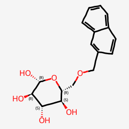 O[C@@H]1[C@@H](O)[C@H](O)O[C@H](COCc2ccc3ccccc3c2)[C@H]1O